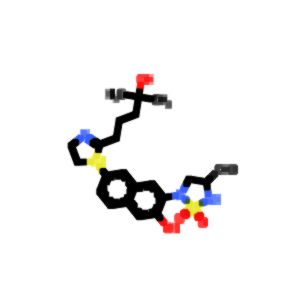 CC(C)(O)CCCC1=NCC[SH]1c1ccc2cc(O)c(N3CC(C=O)NS3(=O)=O)cc2c1